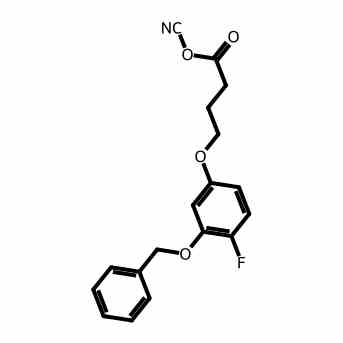 N#COC(=O)CCCOc1ccc(F)c(OCc2ccccc2)c1